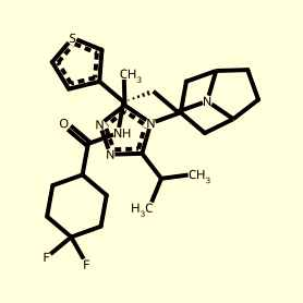 Cc1nnc(C(C)C)n1C1CC2CCC(C1)N2CC[C@H](NC(=O)C1CCC(F)(F)CC1)c1ccsc1